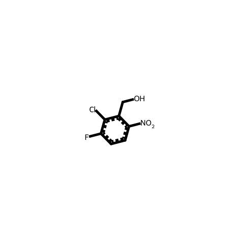 O=[N+]([O-])c1ccc(F)c(Cl)c1CO